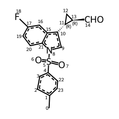 Cc1ccc(S(=O)(=O)n2cc([C@@H]3C[C@H]3C=O)c3cc(F)ccc32)cc1